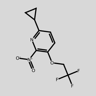 O=[N+]([O-])c1nc(C2CC2)ccc1OCC(F)(F)F